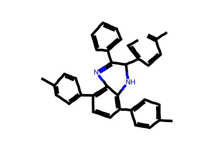 C=C(C)/C=C\C(=C/C)C1Nc2c(-c3ccc(C)cc3)ccc(-c3ccc(C)cc3)c2N=C1c1ccccc1